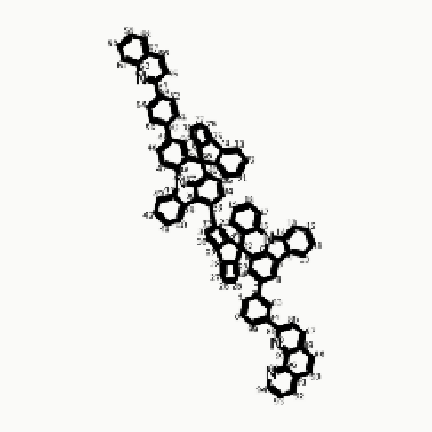 c1cc(-c2cc3c4c(c2)c2ccccc2n4-c2ccccc2C32c3ccccc3-c3ccc(-c4ccc5c6c4c4ccccc4n6-c4ccc(-c6ccc(-c7ccc8ccccc8n7)cc6)cc4C54c5ccccc5-c5ccccc54)cc32)cc(-c2ccc3ccc4cccnc4c3n2)c1